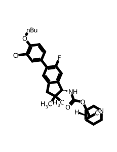 CCCCOc1ccc(-c2cc3c(cc2F)[C@H](NC(=O)O[C@@H]2CN4CCC2CC4)C(C)(C)C3)cc1Cl